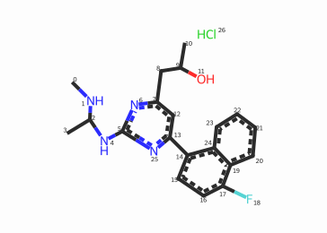 CNC(C)Nc1nc(CC(C)O)cc(-c2ccc(F)c3ccccc23)n1.Cl